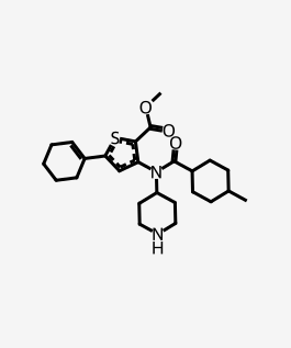 COC(=O)c1sc(C2=CCCCC2)cc1N(C(=O)C1CCC(C)CC1)C1CCNCC1